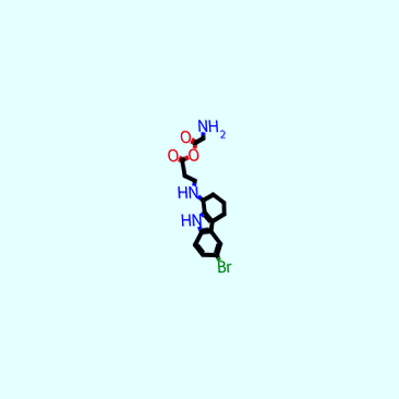 NCC(=O)OC(=O)CCNC1CCCc2c1[nH]c1ccc(Br)cc21